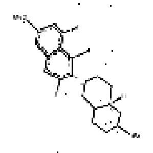 CCCCC1CCC2C[C@H](c3c(F)cc4cc(OC)cc(F)c4c3F)CC[C@@H]2C1